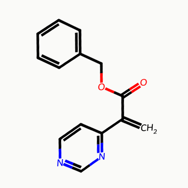 C=C(C(=O)OCc1ccccc1)c1ccncn1